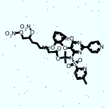 COc1ccccc1Oc1c(OC)nc(-c2ccncc2)nc1N(C(C)(C)OC(=O)CCCCCC(CO[N+](=O)[O-])O[N+](=O)[O-])S(=O)(=O)c1ccc(C)cn1